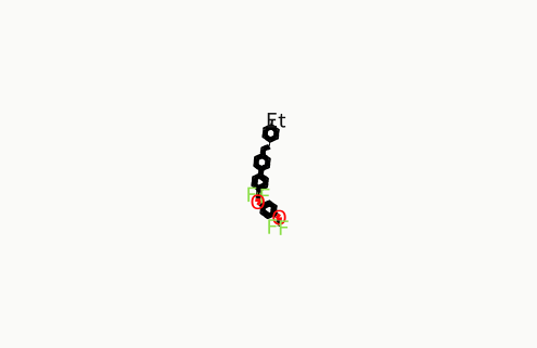 CC[C@H]1CC[C@H](CCC2CCC(c3ccc(C(F)(F)Oc4ccc(OC(F)F)cc4)cc3)CC2)CC1